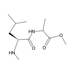 CN[C@@H](CC(C)C)C(=O)NC(C)C(=O)OC